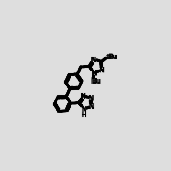 CCC(C)n1nc(C(C)(C)C)nc1Cc1ccc(-c2ccccc2-c2nnn[nH]2)cc1